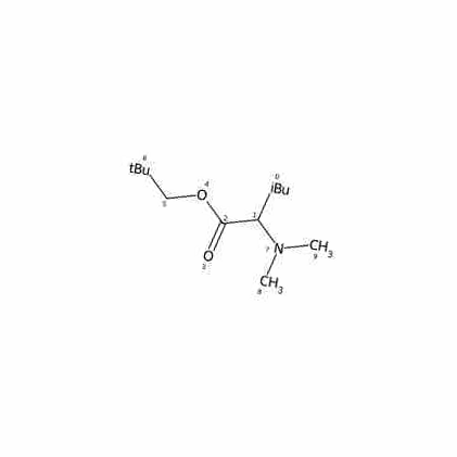 CCC(C)C(C(=O)OCC(C)(C)C)N(C)C